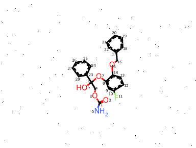 NC(=O)OCC(O)(Oc1cc(F)ccc1OCc1ccccc1)c1ccccc1